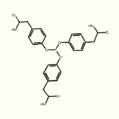 CCCCC(CC)Cc1ccc(OP(Oc2ccc(CC(CC)CCCC)cc2)Oc2ccc(CC(CC)CCCC)cc2)cc1